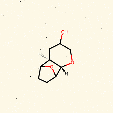 OC1CO[C@@H]2C3CCC(O3)[C@H]2C1